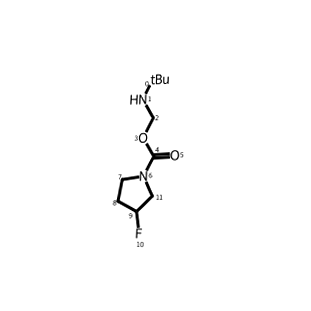 CC(C)(C)NCOC(=O)N1CCC(F)C1